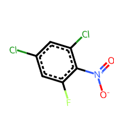 O=[N+]([O-])c1c(F)cc(Cl)cc1Cl